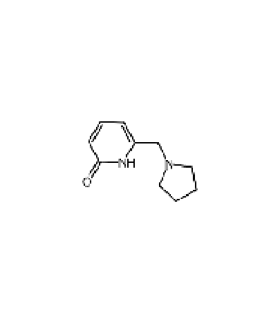 O=c1cccc(CN2CCCC2)[nH]1